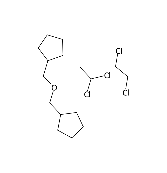 C1CCC(COCC2CCCC2)C1.CC(Cl)Cl.ClCCCl